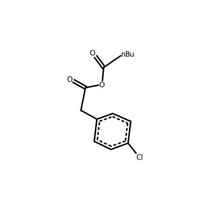 [CH2]CCCC(=O)OC(=O)Cc1ccc(Cl)cc1